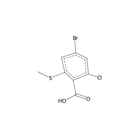 CSc1cc(Br)cc(Cl)c1C(=O)O